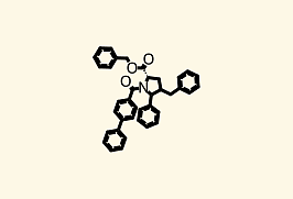 O=C(OCc1ccccc1)[C@@H]1CC(Cc2ccccc2)C(c2ccccc2)N1C(=O)c1ccc(-c2ccccc2)cc1